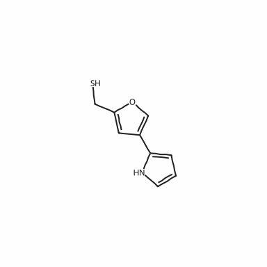 SCc1cc(-c2ccc[nH]2)co1